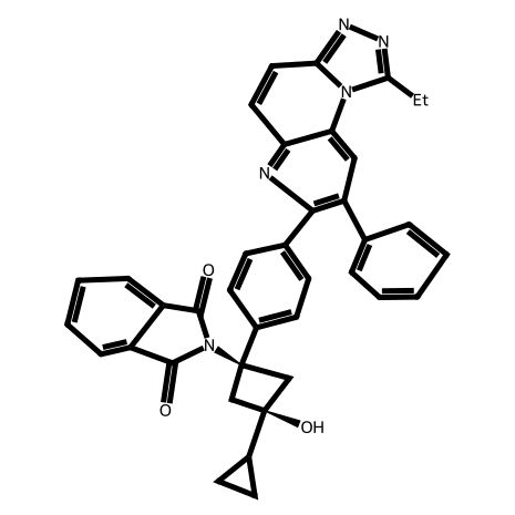 CCc1nnc2ccc3nc(-c4ccc([C@]5(N6C(=O)c7ccccc7C6=O)C[C@](O)(C6CC6)C5)cc4)c(-c4ccccc4)cc3n12